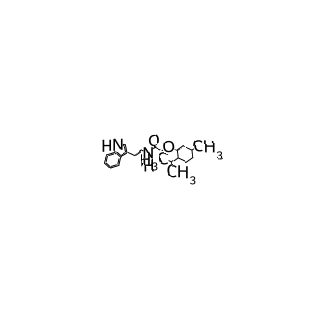 CC1CCC(C(C)C)C(OCC(=O)NC=Cc2c[nH]c3ccccc23)C1